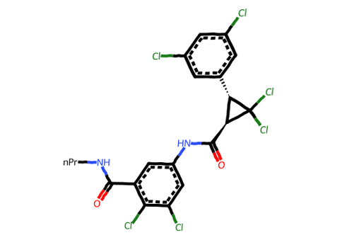 CCCNC(=O)c1cc(NC(=O)[C@H]2[C@H](c3cc(Cl)cc(Cl)c3)C2(Cl)Cl)cc(Cl)c1Cl